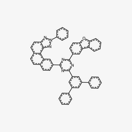 c1ccc(-c2cc(-c3ccccc3)cc(-c3nc(-c4ccc5oc6ccccc6c5c4)nc(-c4ccc5ccc6ccc7nn(-c8ccccc8)nc7c6c5c4)n3)c2)cc1